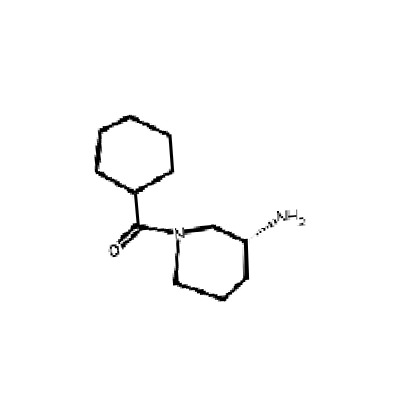 N[C@@H]1CCCN(C(=O)C2CCCCC2)C1